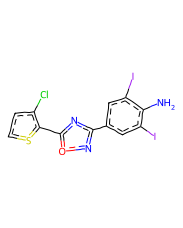 Nc1c(I)cc(-c2noc(-c3sccc3Cl)n2)cc1I